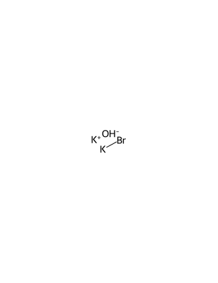 [K+].[K][Br].[OH-]